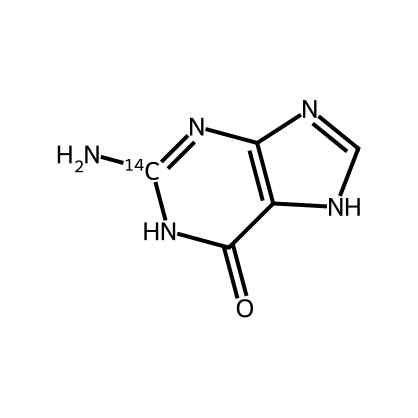 N[14c]1nc2nc[nH]c2c(=O)[nH]1